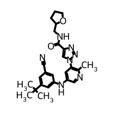 Cc1ncc(Nc2cc(C#N)cc(C(C)(C)C)c2)cc1-n1cc(C(=O)NCC2CCCO2)nn1